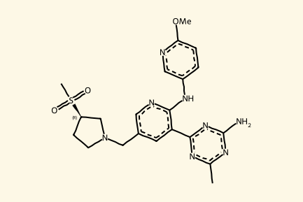 COc1ccc(Nc2ncc(CN3CC[C@@H](S(C)(=O)=O)C3)cc2-c2nc(C)nc(N)n2)cn1